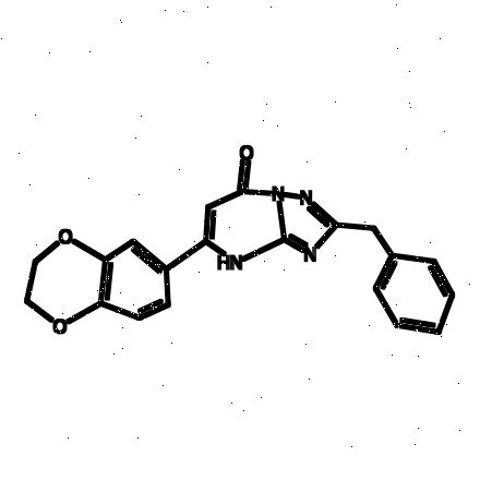 O=c1cc(-c2ccc3c(c2)OCCO3)[nH]c2nc(Cc3ccccc3)nn12